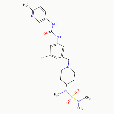 Cc1ccc(NC(=O)Nc2cc(F)cc(CN3CCC(N(C)S(=O)(=O)N(C)C)CC3)c2)cn1